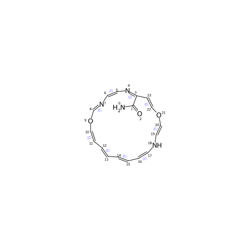 NC(=O)C1=N\C=C/N=C/O\C=C/C=C/C=C/C=C\N/C=C/O\C=C\1